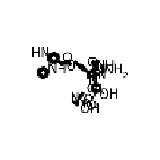 CNc1ccc(CC(=O)OCC#Cc2cn([C@H]3C[C@@H](O)[C@@H](COP(=O)(O)n4ccnc4C)O3)c3nc(N)[nH]c(=O)c23)c(Nc2ccccc2)c1